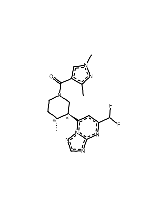 Cc1nn(C)cc1C(=O)N1CC[C@@H](C)[C@H](c2cc(C(F)F)nc3ncnn23)C1